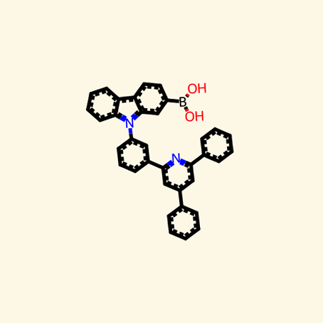 OB(O)c1ccc2c3ccccc3n(-c3cccc(-c4cc(-c5ccccc5)cc(-c5ccccc5)n4)c3)c2c1